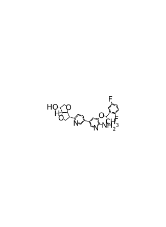 CC(Oc1cc(-c2ccc(C3CO[C@H]4C3OC[C@H]4O)nc2)cnc1N)c1cc(F)ccc1F